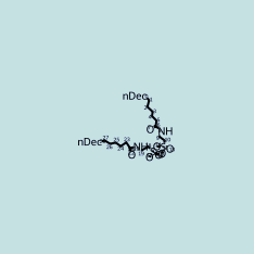 CCCCCCCCCCCCCCCC(=O)NCCS(=O)(=O)OS(=O)(=O)CCNC(=O)CCCCCCCCCCCCCCC